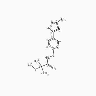 CC(C)(CCl)C(=O)NCc1ccc(-c2noc(C(F)(F)F)n2)cc1